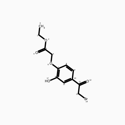 CCOC(=O)COc1ccc(C(=O)CBr)cc1O